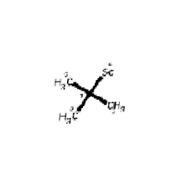 C[C](C)(C)[Sc]